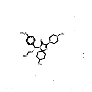 CC(C)(C)CC[C@H](c1ccc(C(=O)O)cc1)N1C(=O)C(N2CCN(C(C)(C)C)CC2)=NC12CCC(C(C)(C)C)CC2